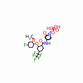 COC1CC(F)CCC1OC1CC(C(F)(F)C(F)(F)F)CCC1C(=O)Nc1ccn(COP(=O)(O)O)c(=O)c1